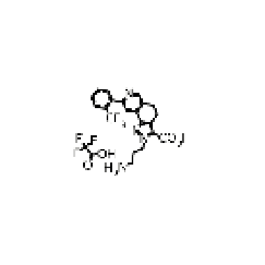 NCCCn1nc2c(c1C(=O)O)CCc1cnc(-c3ccccc3C(F)(F)F)cc1-2.O=C(O)C(F)(F)F